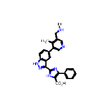 CCNCc1cncc(-c2ccc3[nH]nc(-c4nc(-c5ccccc5)c(C(=O)O)[nH]4)c3c2)c1C